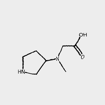 CN(CC(=O)O)C1CCNC1